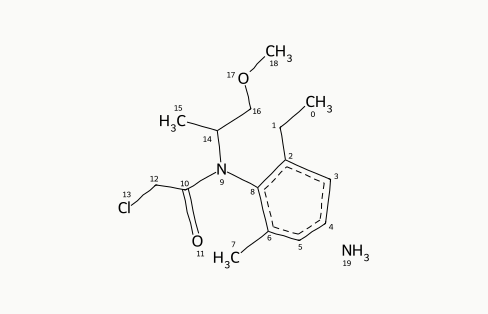 CCc1cccc(C)c1N(C(=O)CCl)C(C)COC.N